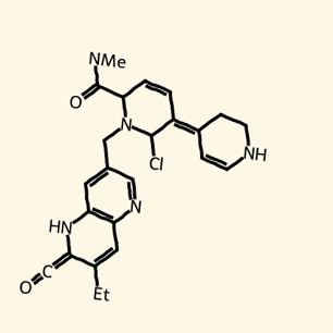 CCC1=Cc2ncc(CN3C(Cl)C(=C4C=CNCC4)C=CC3C(=O)NC)cc2NC1=C=O